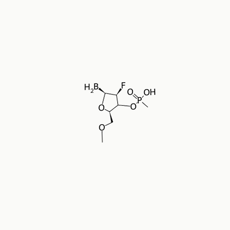 B[C@@H]1O[C@H](COC)C(OP(C)(=O)O)[C@@H]1F